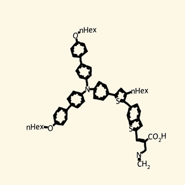 C=NC/C(=C/c1cc2ccc(-c3sc(-c4ccc(N(c5ccc(-c6ccc(OCCCCCC)cc6)cc5)c5ccc(-c6ccc(OCCCCCC)cc6)cc5)cc4)cc3CCCCCC)cc2s1)C(=O)O